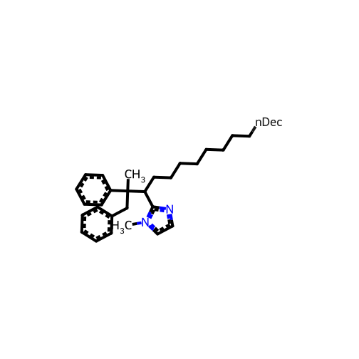 CCCCCCCCCCCCCCCCCCC(c1nccn1C)C(C)(Cc1ccccc1)c1ccccc1